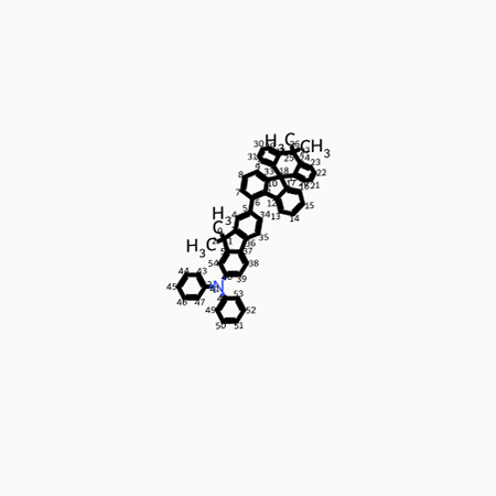 CC1(C)c2cc(-c3cccc4c3-c3ccccc3C43c4ccccc4C(C)(C)c4ccccc43)ccc2-c2ccc(N(c3ccccc3)c3ccccc3)cc21